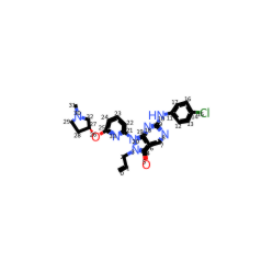 C=CCn1c(=O)c2cnc(Nc3ccc(Cl)cc3)nc2n1-c1cccc(O[C@H]2CCN(C)C2)n1